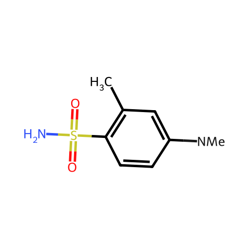 CNc1ccc(S(N)(=O)=O)c(C)c1